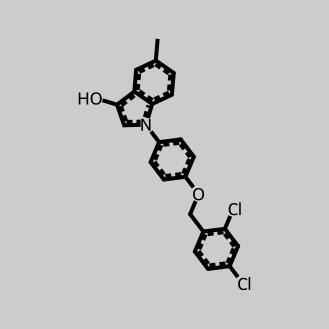 Cc1ccc2c(c1)c(O)cn2-c1ccc(OCc2ccc(Cl)cc2Cl)cc1